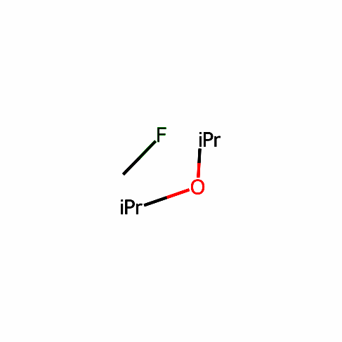 CC(C)OC(C)C.CF